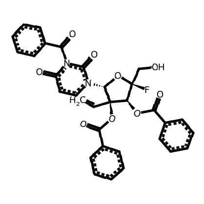 C=C[C@]1(OC(=O)c2ccccc2)[C@H](n2ccc(=O)n(C(=O)c3ccccc3)c2=O)O[C@](F)(CO)[C@H]1OC(=O)c1ccccc1